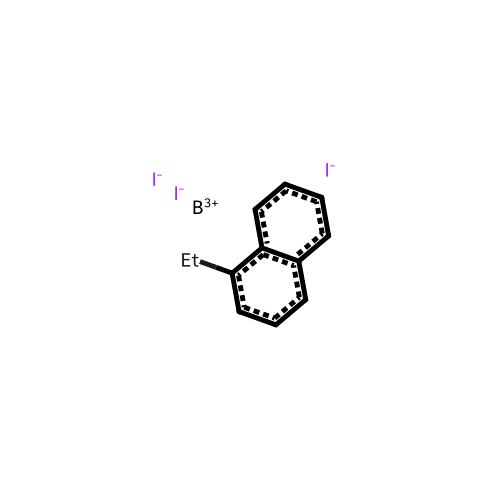 CCc1cccc2ccccc12.[B+3].[I-].[I-].[I-]